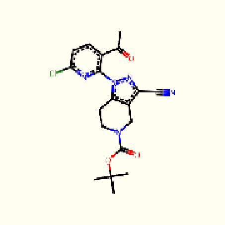 CC(=O)c1ccc(Cl)nc1-n1nc(C#N)c2c1CCN(C(=O)OC(C)(C)C)C2